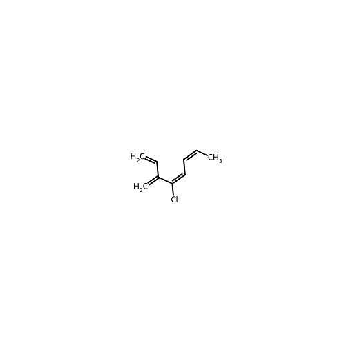 C=CC(=C)/C(Cl)=C\C=C/C